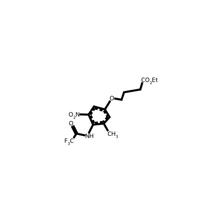 CCOC(=O)CCCOc1cc(C)c(NC(=O)C(F)(F)F)c([N+](=O)[O-])c1